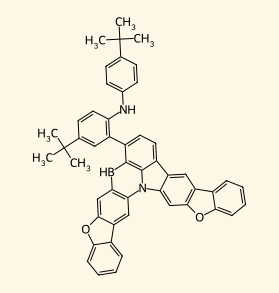 CC(C)(C)c1ccc(Nc2ccc(C(C)(C)C)cc2-c2ccc3c4cc5c(cc4n4c3c2Bc2cc3oc6ccccc6c3cc2-4)oc2ccccc25)cc1